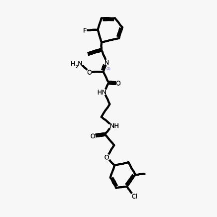 C=C(/N=C(\ON)C(=O)NCCNC(=O)COC1C=CC(Cl)=C(C)C1)C1C=CC=CC1F